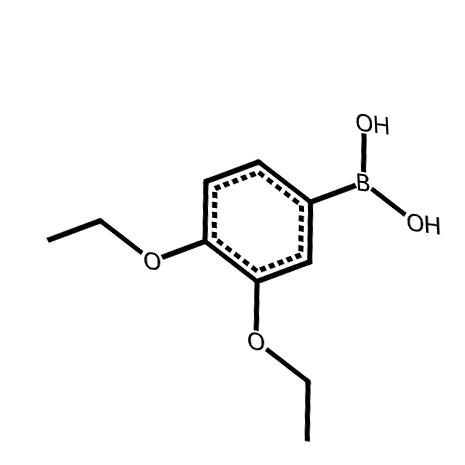 CCOc1ccc(B(O)O)cc1OCC